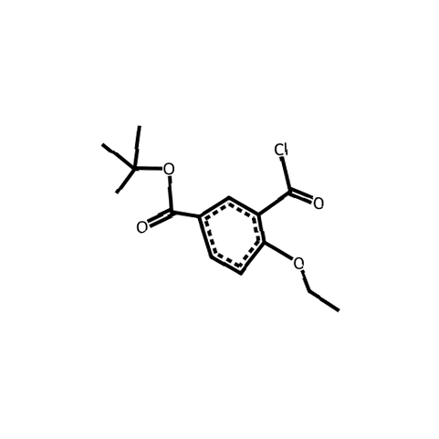 CCOc1ccc(C(=O)OC(C)(C)C)cc1C(=O)Cl